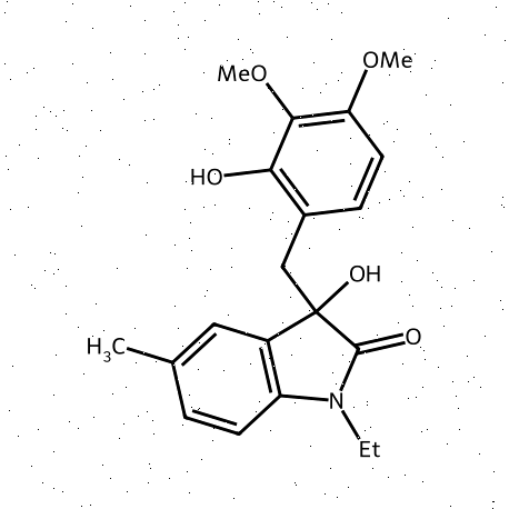 CCN1C(=O)C(O)(Cc2ccc(OC)c(OC)c2O)c2cc(C)ccc21